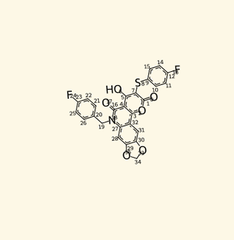 O=c1oc2c(c(O)c1Sc1ccc(F)cc1)c(=O)n(Cc1ccc(F)cc1)c1cc3c(cc21)OCO3